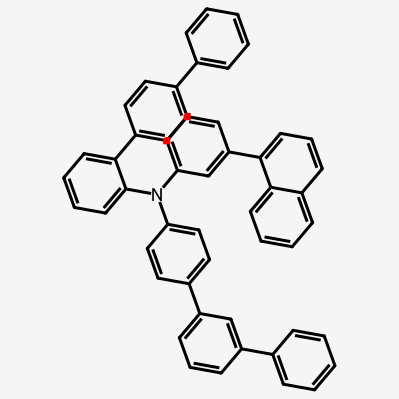 c1ccc(-c2ccc(-c3ccccc3N(c3ccc(-c4cccc(-c5ccccc5)c4)cc3)c3cccc(-c4cccc5ccccc45)c3)cc2)cc1